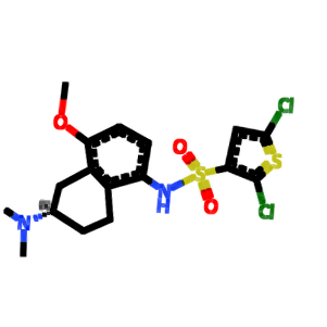 COc1ccc(NS(=O)(=O)c2cc(Cl)sc2Cl)c2c1C[C@@H](N(C)C)CC2